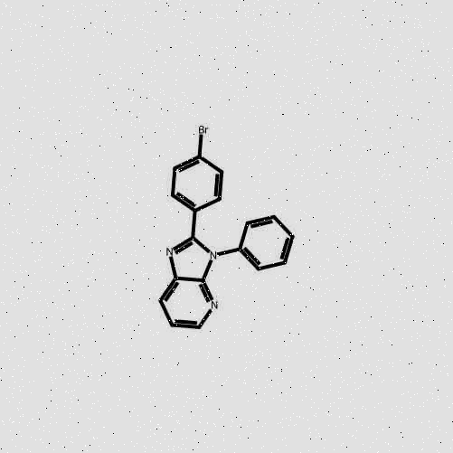 Brc1ccc(-c2nc3cccnc3n2-c2ccccc2)cc1